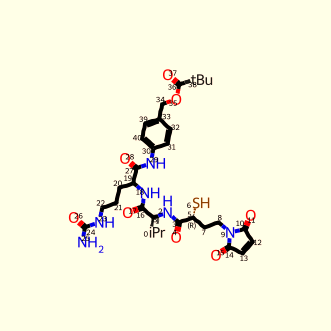 CC(C)[C@H](NC(=O)[C@H](S)CCN1C(=O)C=CC1=O)C(=O)NC(CCCNC(N)=O)C(=O)Nc1ccc(COC(=O)C(C)(C)C)cc1